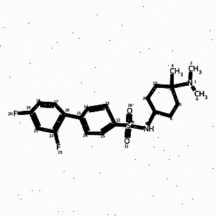 CN(C)C1(C)CCC(NS(=O)(=O)c2ccc(-c3ccc(F)cc3F)cc2)CC1